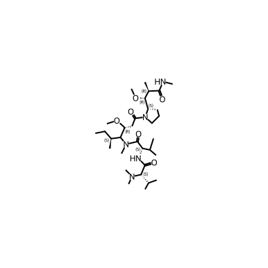 CC[C@H](C)C([C@@H](CC(=O)N1CCC[C@H]1[C@H](OC)[C@@H](C)C(=O)NC)OC)N(C)C(=O)[C@@H](NC(=O)[C@H](C(C)C)N(C)C)C(C)C